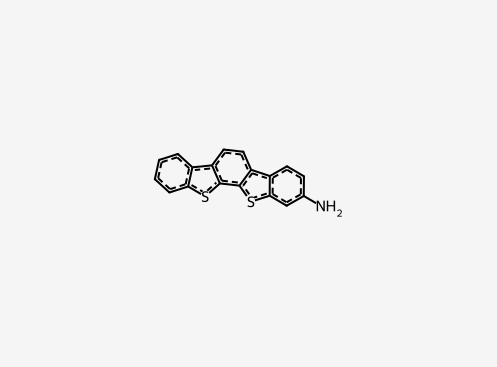 Nc1ccc2c(c1)sc1c2ccc2c3ccccc3sc21